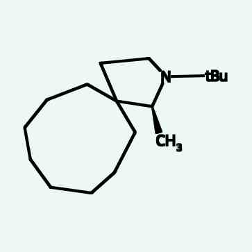 C[C@@H]1N(C(C)(C)C)CCC12CCCCCCCC2